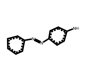 [NH]c1ccc(/N=N/c2ccccc2)cc1